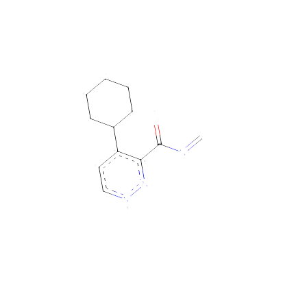 C=NC(=O)c1nnccc1C1CCCCC1